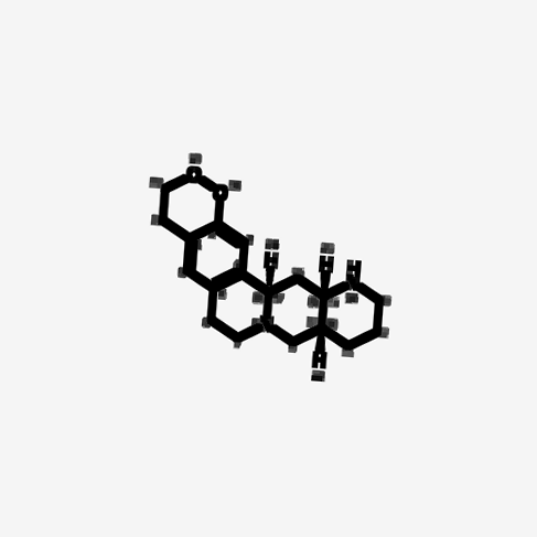 c1c2c(cc3c1CCN1C[C@H]4CCCN[C@H]4C[C@H]31)OOCC2